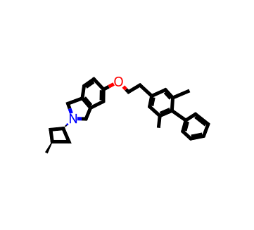 Cc1cc(CCOc2ccc3c(c2)CN([C@H]2C[C@H](C)C2)C3)cc(C)c1-c1ccccc1